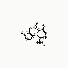 COC1C(Cl)=CN=C(N)N1c1cnn(C)c1C